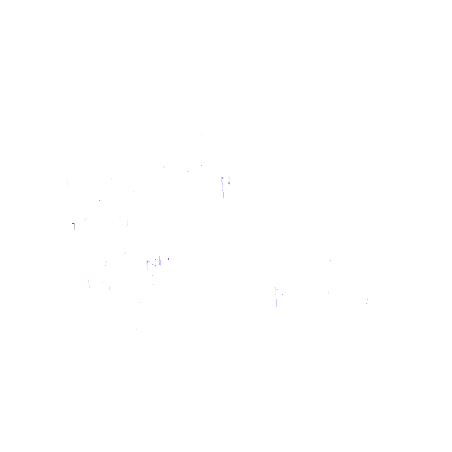 C1CCC(NC2CCCCC2)CC1.CC(C)(C)OC(=O)NCCCC[C@@H](NC(=O)OC(C)(C)C)C(=O)O